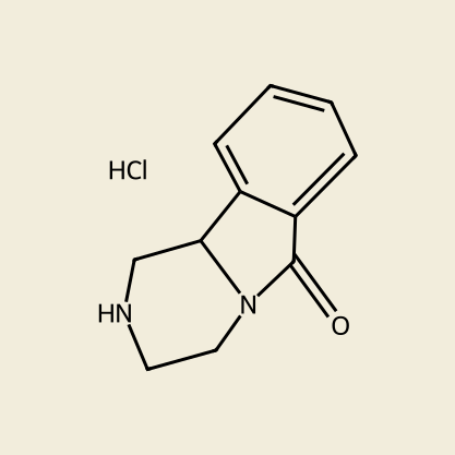 Cl.O=C1c2ccccc2C2CNCCN12